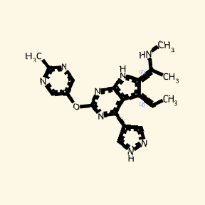 C/C=c1\c(=C(/C)NC)[nH]c2nc(Oc3cnc(C)nc3)nc(-c3cn[nH]c3)c12